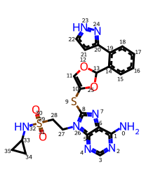 Nc1ncnc2c1nc(SC1=COC(c3ccccc3-c3cc[nH]n3)O1)n2CCS(=O)(=O)NC1CC1